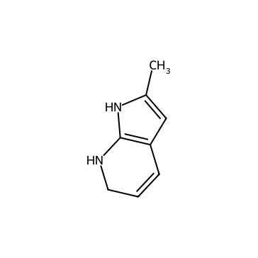 Cc1cc2c([nH]1)NCC=C2